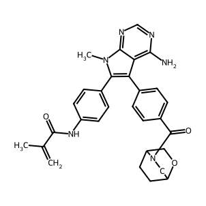 C=C(C)C(=O)Nc1ccc(-c2c(-c3ccc(C(=O)N4CC5CCC4CO5)cc3)c3c(N)ncnc3n2C)cc1